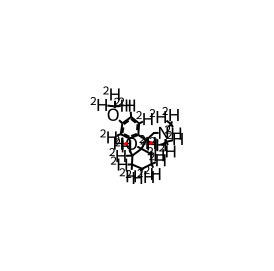 [2H]c1c([2H])c(C([2H])(CN(C([2H])([2H])[2H])C([2H])([2H])[2H])C2(O)C([2H])([2H])C([2H])([2H])C([2H])([2H])C([2H])([2H])C2([2H])[2H])c([2H])c([2H])c1OC([2H])([2H])[2H]